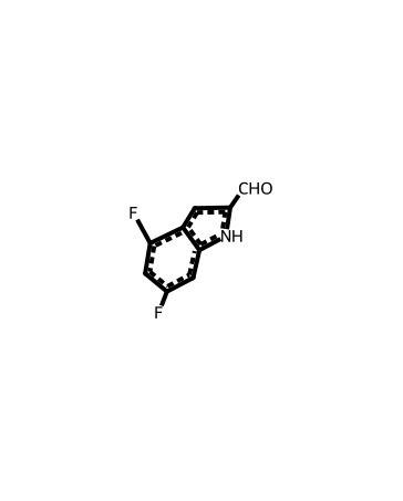 O=Cc1cc2c(F)cc(F)cc2[nH]1